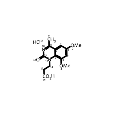 COc1cc(OC)c2c(c1)c(C)nc(=O)n2CCC(=O)O.Cl